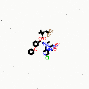 CC1(C)[C@H](C(=O)O[C@H](C#N)c2cccc(Oc3ccccc3)c2)[C@@H]1C=C(Br)Br.CCN(Cc1ccc(Cl)nc1)/C(=C/[N+](=O)[O-])NC